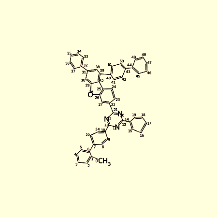 Cc1ccccc1-c1ccc(-c2nc(-c3ccccc3)nc(-c3ccc4c(c3)oc3cc(-c5ccccc5)cc(-c5ccc(-c6ccccc6)cc5)c34)n2)cc1